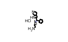 Cl.NCCO/N=C(\c1ccccc1)c1cc2ccncc2[nH]1